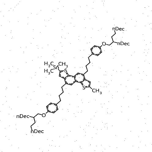 CCCCCCCCCCCCC(CCCCCCCCCC)COc1ccc(CCCCc2cc3c(cc(CCCCc4ccc(OCC(CCCCCCCCCC)CCCCCCCCCCCC)cc4)c4c[c]([Sn]([CH3])([CH3])[CH3])sc43)c3sc(C)cc23)cc1